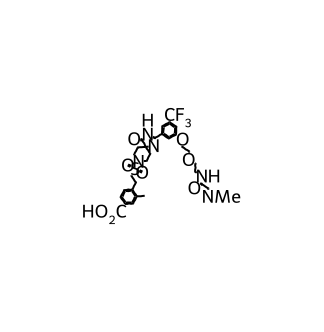 CNCC(=O)NCCOCCOc1cc(C2=NC3(CCN(S(=O)(=O)CCc4ccc(C(=O)O)cc4C)CC3)C(=O)N2)cc(C(F)(F)F)c1